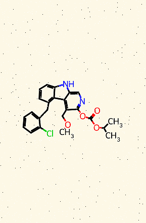 COCc1c(OC(=O)OC(C)C)ncc2[nH]c3cccc(Cc4ccccc4Cl)c3c12